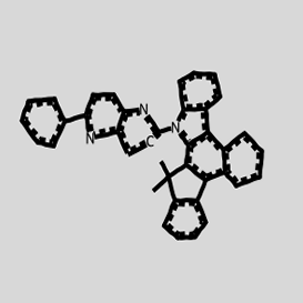 CC1(C)c2ccccc2-c2c1c1c(c3ccccc23)c2ccccc2n1-c1ccc2nc(-c3ccccc3)ccc2n1